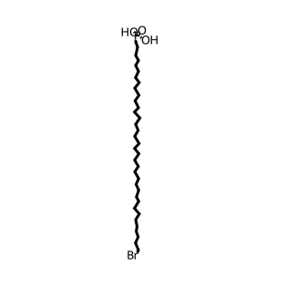 O=P(O)(O)CCCCCCCCCCCCCCCCCCCCCCCCCCCCCCCCCCCCBr